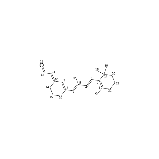 CC1=C(/C=C/C(C)=C/C2=CC(=C/C=O)/CCC2)C(C)(C)CCC1